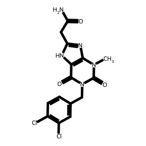 Cn1c(=O)n(Cc2ccc(Cl)c(Cl)c2)c(=O)c2[nH]c(CC(N)=O)nc21